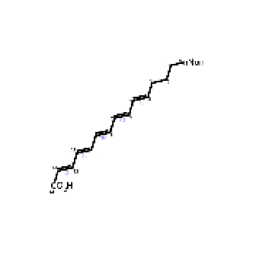 CCCCCCCCCCCC/C=C/C=C/C=C/C=C/C=C/C(=O)O